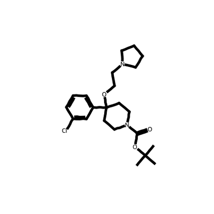 CC(C)(C)OC(=O)N1CCC(OCCN2CCCC2)(c2cccc(Cl)c2)CC1